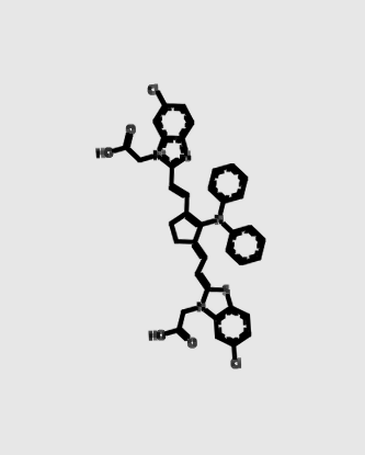 O=C(O)CN1C(=CC=C2CCC(C=Cc3sc4ccc(Cl)cc4[n+]3CC(=O)O)=C2N(c2ccccc2)c2ccccc2)Sc2ccc(Cl)cc21